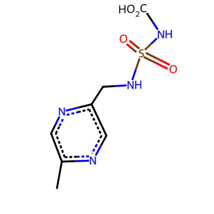 Cc1cnc(CNS(=O)(=O)NC(=O)O)cn1